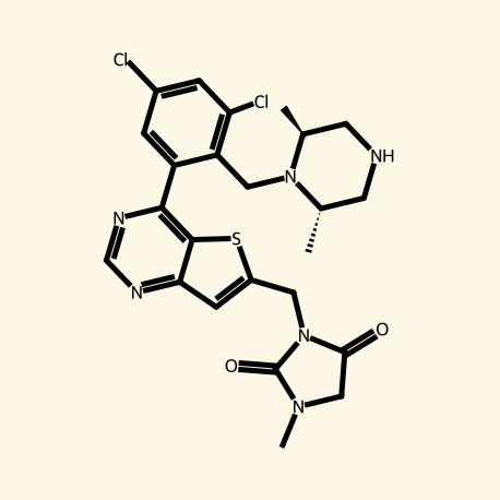 C[C@H]1CNC[C@H](C)N1Cc1c(Cl)cc(Cl)cc1-c1ncnc2cc(CN3C(=O)CN(C)C3=O)sc12